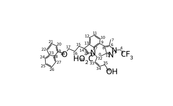 Cc1nn(CC(F)(F)F)c(C)c1-c1cccc2c(CCCOc3cccc4ccccc34)c(C(=O)O)n(C/C=C\CO)c12